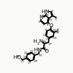 Cc1c[nH]c2nccc(Oc3ccc(CC(N)C(=O)NCc4ccc(CO)cc4)cc3F)c12